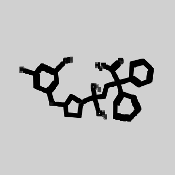 CC(C)(CCC(C(N)=O)(c1ccccc1)c1ccccc1)N1CCC(Oc2cc(O)cc(F)c2)C1